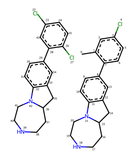 Cc1cc(Cl)ccc1-c1ccc2c(c1)CC1CCNCCN21.Clc1ccc(Cl)c(-c2ccc3c(c2)CC2CCNCCN32)c1